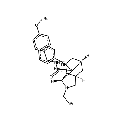 CC(C)CN1C[C@@H]2C[C@H]3CN[C@]2(C(=O)NCc2ccc(OC(C)(C)C)cc2)[C@@H]1[C@@H]3Cc1ccccc1